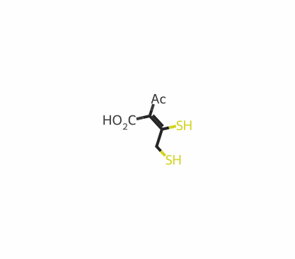 CC(=O)C(C(=O)O)=C(S)CS